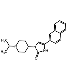 CC(C)N1CCC(n2cc(-c3ccc4ccccc4c3)[nH]c2=O)CC1